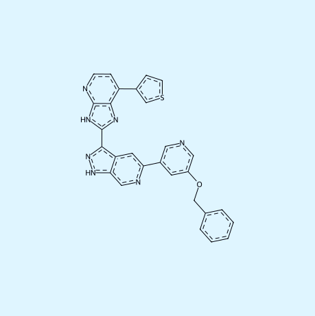 c1ccc(COc2cncc(-c3cc4c(-c5nc6c(-c7ccsc7)ccnc6[nH]5)n[nH]c4cn3)c2)cc1